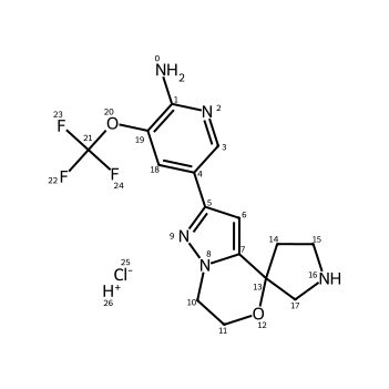 Nc1ncc(-c2cc3n(n2)CCOC32CCNC2)cc1OC(F)(F)F.[Cl-].[H+]